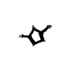 Fc1[c]cc(Cl)o1